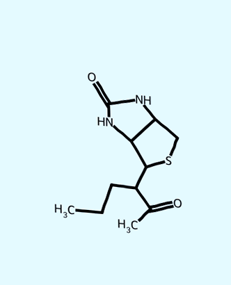 CCCC(C(C)=O)C1SCC2NC(=O)NC21